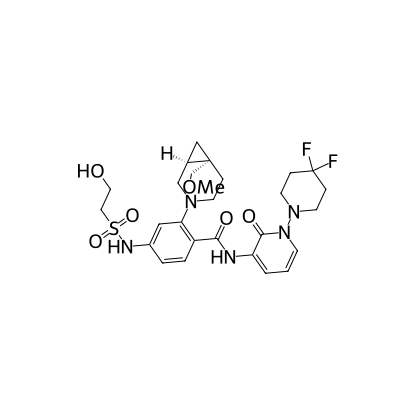 COC[C@]12CCN(c3cc(NS(=O)(=O)CCO)ccc3C(=O)Nc3cccn(N4CCC(F)(F)CC4)c3=O)C[C@H]1C2